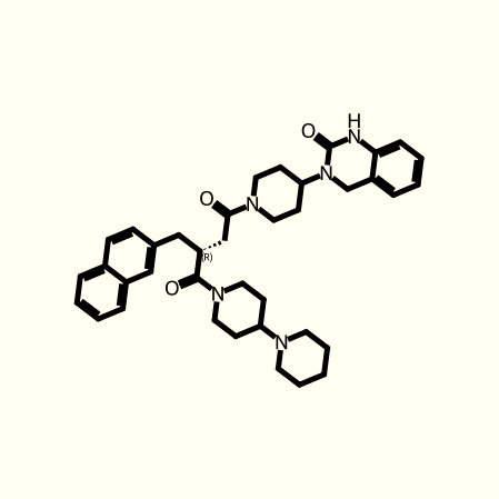 O=C(C[C@@H](Cc1ccc2ccccc2c1)C(=O)N1CCC(N2CCCCC2)CC1)N1CCC(N2Cc3ccccc3NC2=O)CC1